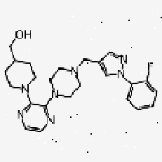 OCC1CCN(c2nccnc2N2CCN(Cc3cnn(-c4ccccc4F)c3)CC2)CC1